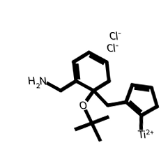 CC(C)(C)OC1(CC2=[C]([Ti+2])CC=C2)CC=CC=C1CN.[Cl-].[Cl-]